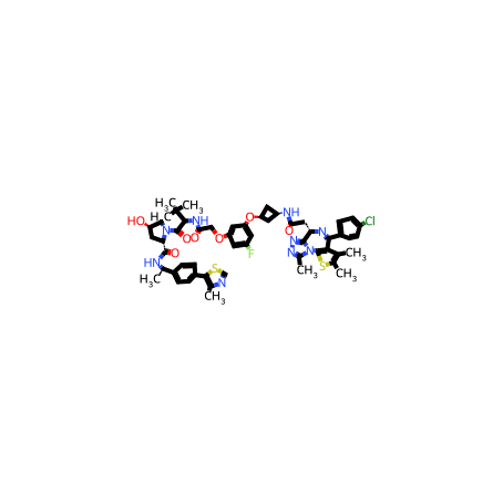 Cc1ncsc1-c1ccc([C@H](C)NC(=O)[C@@H]2C[C@@H](O)CN2C(=O)C(NC(=O)COc2cc(F)cc(O[C@H]3C[C@H](NC(=O)C[C@@H]4N=C(c5ccc(Cl)cc5)c5c(sc(C)c5C)-n5c(C)nnc54)C3)c2)C(C)(C)C)cc1